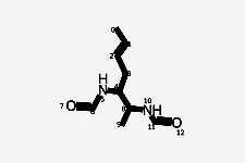 CC=CCC(NC=O)C(C)NC=O